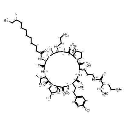 CC[C@H](C)C[C@H](C)CCCCCCCCC(=O)N[C@H]1C[C@@H](O)[C@@H](NCCN)NC(=O)[C@@H]2[C@@H](O)CCN2C(=O)[C@H]([C@H](O)CCNC(=O)[C@H](CCSC)NC=O)NC(=O)[C@H]([C@H](O)[C@@H](O)c2ccc(O)cc2)NC(=O)[C@@H]2C[C@@H](O)CN2C(=O)[C@H]([C@@H](C)O)NC1=O